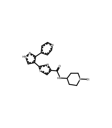 CCN1CCC(NC(=O)c2csc(-c3c[nH]nc3-c3ccncc3)n2)CC1